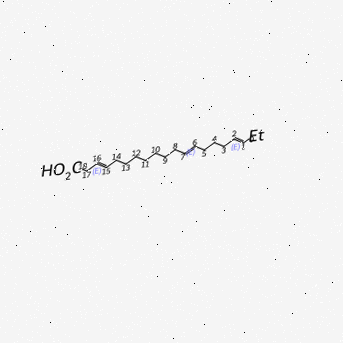 CC/C=C/CCC/C=C/CCCCCCC/C=C/CC(=O)O